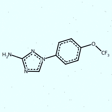 Nc1ncn(-c2ccc(OC(F)(F)F)cc2)n1